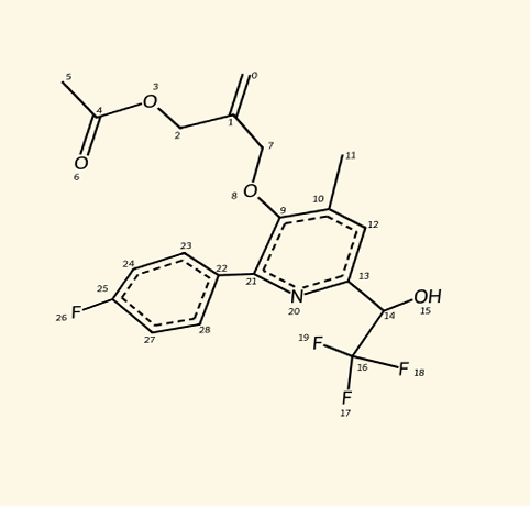 C=C(COC(C)=O)COc1c(C)cc(C(O)C(F)(F)F)nc1-c1ccc(F)cc1